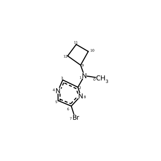 CN(c1cncc(Br)n1)C1CCC1